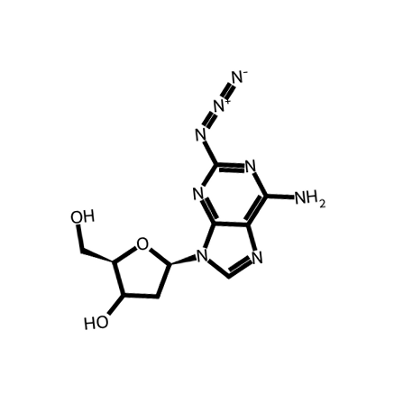 [N-]=[N+]=Nc1nc(N)c2ncn([C@H]3CC(O)[C@@H](CO)O3)c2n1